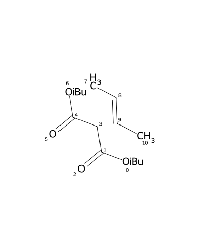 CC(C)COC(=O)CC(=O)OCC(C)C.CC=CC